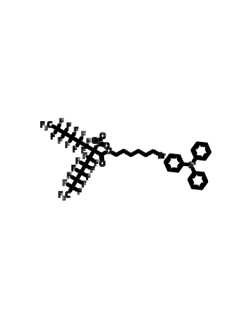 O=C(OCCCCCCBr)C(C(F)(F)C(F)(F)C(F)(F)C(F)(F)C(F)(F)C(F)(F)F)(C(F)(F)C(F)(F)C(F)(F)C(F)(F)C(F)(F)C(F)(F)F)S(=O)(=O)[O-].c1ccc([S+](c2ccccc2)c2ccccc2)cc1